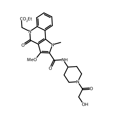 CCOC(=O)Cn1c(=O)c2c(OC)c(C(=O)NC3CCN(C(=O)CO)CC3)n(C)c2c2ccccc21